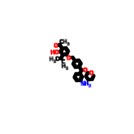 CC(=O)c1ccc(OCc2ccc(C(OC3CCCCO3)c3cccc(N)c3)cc2)c(C(C)C)c1O